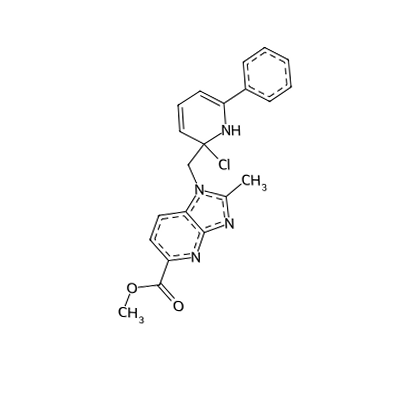 COC(=O)c1ccc2c(n1)nc(C)n2CC1(Cl)C=CC=C(c2ccccc2)N1